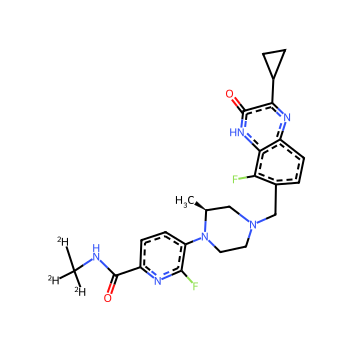 [2H]C([2H])([2H])NC(=O)c1ccc(N2CCN(Cc3ccc4nc(C5CC5)c(=O)[nH]c4c3F)C[C@@H]2C)c(F)n1